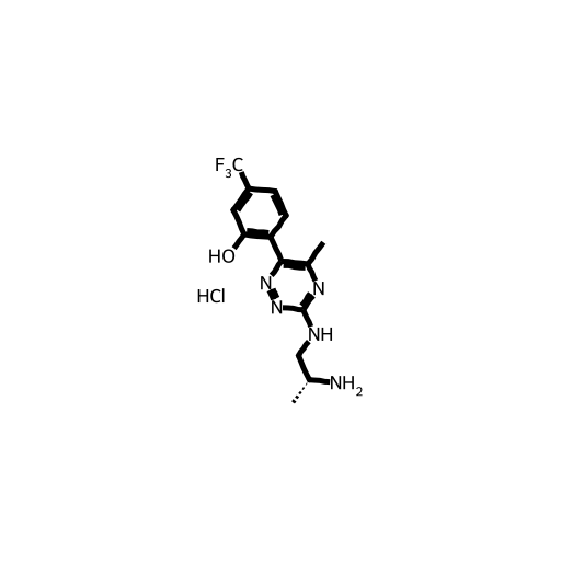 Cc1nc(NC[C@@H](C)N)nnc1-c1ccc(C(F)(F)F)cc1O.Cl